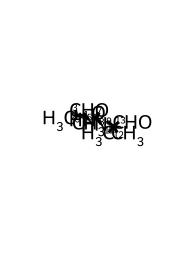 CC(C)(C=O)CNC(=O)NCC(C)(C)C=O